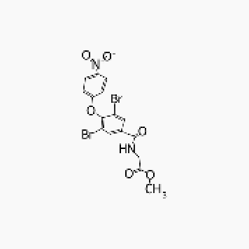 COC(=O)CNC(=O)c1cc(Br)c(Oc2ccc([N+](=O)[O-])cc2)c(Br)c1